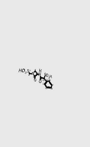 O=C(NC1CN(CS(=O)(=O)O)C1=O)C(c1ccccc1)S(=O)(=O)O